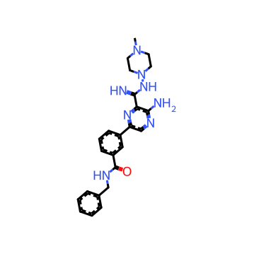 CN1CCN(NC(=N)c2nc(-c3cccc(C(=O)NCc4ccccc4)c3)cnc2N)CC1